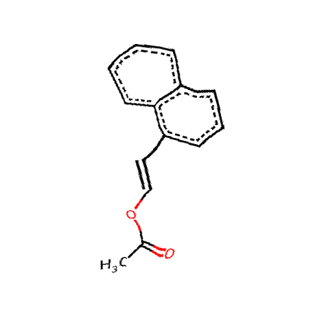 CC(=O)OC=Cc1cccc2ccccc12